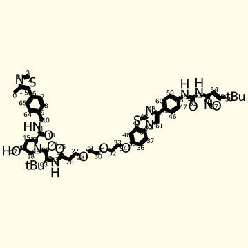 Cc1ncsc1-c1ccc(CNC(=O)[C@@H]2C[C@@H](O)CN2C(=O)[C@@H](NC(=O)CCOCCOCCOc2ccc3c(c2)sc2nc(-c4ccc(NC(=O)Nc5cc(C(C)(C)C)on5)cc4)cn23)C(C)(C)C)cc1